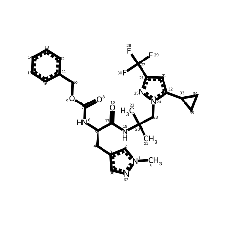 Cn1cc(C[C@@H](NC(=O)OCc2ccccc2)C(=O)NC(C)(C)Cn2nc(C(F)(F)F)cc2C2CC2)cn1